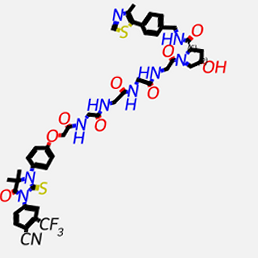 Cc1ncsc1-c1ccc(CNC(=O)[C@@H]2C[C@@H](O)CN2C(=O)CNC(=O)CNC(=O)CNC(=O)CNC(=O)COc2ccc(N3C(=S)N(c4ccc(C#N)c(C(F)(F)F)c4)C(=O)C3(C)C)cc2)cc1